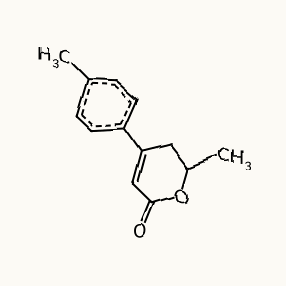 Cc1ccc(C2=CC(=O)OC(C)C2)cc1